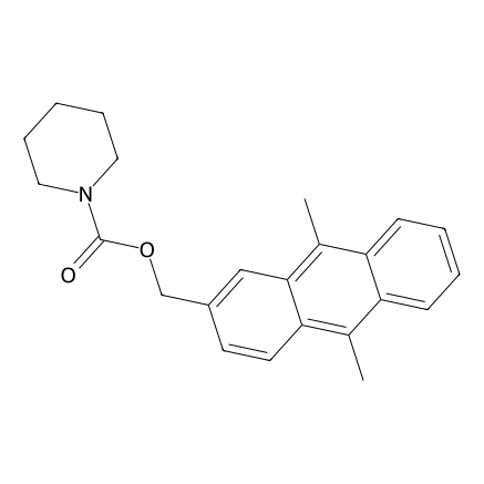 Cc1c2ccccc2c(C)c2cc(COC(=O)N3CCCCC3)ccc12